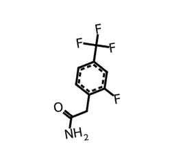 NC(=O)Cc1ccc(C(F)(F)F)cc1F